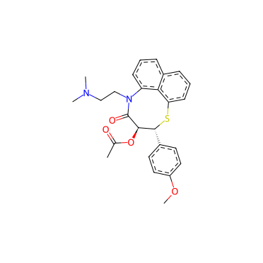 COc1ccc([C@H]2Sc3cccc4cccc(c34)N(CCN(C)C)C(=O)[C@@H]2OC(C)=O)cc1